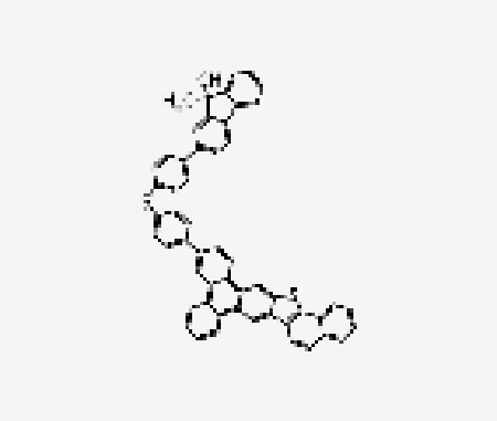 CC1(C)c2ccccc2-c2ccc(-c3ccc4sc5ccc(-c6ccc7c(c6)c6ccccc6c6cc8c(cc76)sc6c7ccccc7ccc86)cc5c4c3)cc21